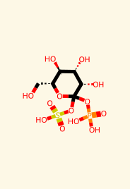 O=P(O)(O)OC1(OS(=O)(=O)O)O[C@H](CO)[C@@H](O)[C@H](O)[C@@H]1O